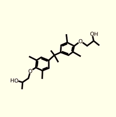 Cc1cc(C(C)(C)c2cc(C)c(OCC(C)O)c(C)c2)cc(C)c1OCC(C)O